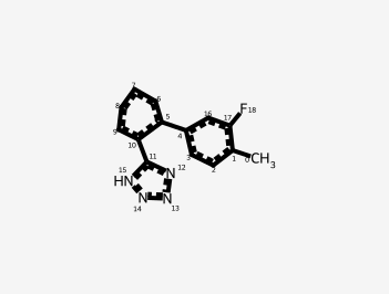 Cc1ccc(-c2ccccc2-c2nnn[nH]2)cc1F